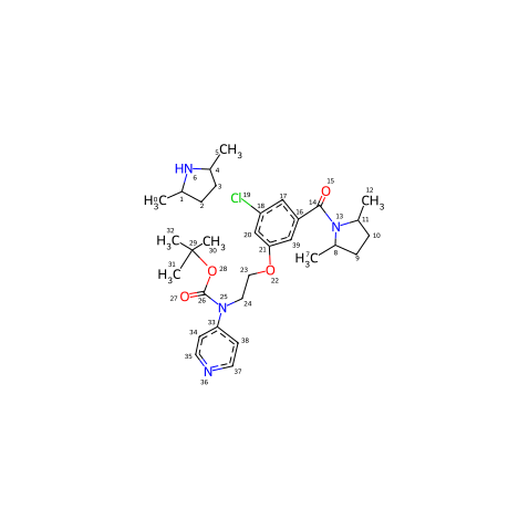 CC1CCC(C)N1.CC1CCC(C)N1C(=O)c1cc(Cl)cc(OCCN(C(=O)OC(C)(C)C)c2ccncc2)c1